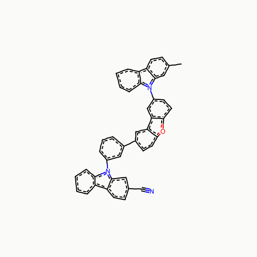 Cc1ccc2c3ccccc3n(-c3ccc4oc5ccc(-c6cccc(-n7c8ccccc8c8ccc(C#N)cc87)c6)cc5c4c3)c2c1